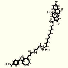 BCc1ccc(-n2nnc3c2CCCCCC3OCC(=O)NCCOP(=O)(O)OP(=O)(O)CCCCCCCCCCSC(=O)[C@H]2[C@H](C)CC3[C@@H]4C[C@H](F)C5=CC(=O)C=C[C@]5(C)[C@@]4(F)[C@@H](O)C[C@@]32C)cc1